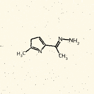 CC1=NC(C(C)=NN)=CC1